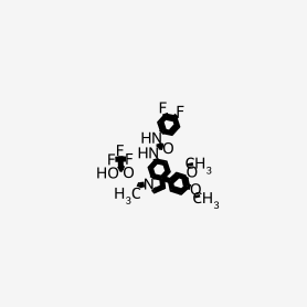 CCN1CCC2(c3ccc(OC)c(OC)c3)CCC(NC(=O)Nc3ccc(F)c(F)c3)CC12.O=C(O)C(F)(F)F